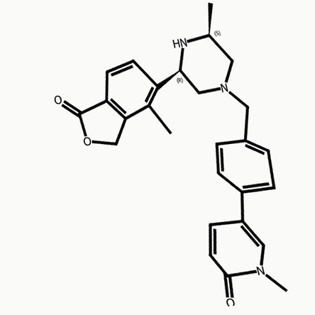 Cc1c([C@@H]2CN(Cc3ccc(-c4ccc(=O)n(C)c4)cc3)C[C@H](C)N2)ccc2c1COC2=O